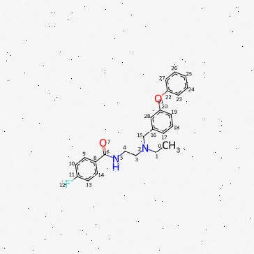 CCN(CCNC(=O)c1ccc(F)cc1)Cc1cccc(Oc2ccccc2)c1